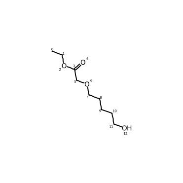 CCOC(=O)COCCCCCO